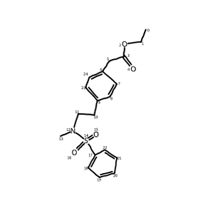 CCOC(=O)Cc1ccc(CCN(C)S(=O)(=O)c2ccccc2)cc1